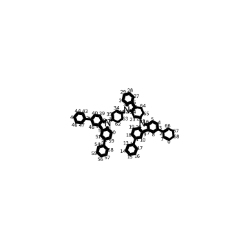 C1=CC(c2ccc3c(c2)c2cc(-c4ccccc4)ccc2n3C2=Cc3c(c4ccccc4n3C3=CC=C(n4c5ccc(-c6ccccc6)cc5c5cc(-c6ccccc6)ccc54)CC3)CC2)=CCC1